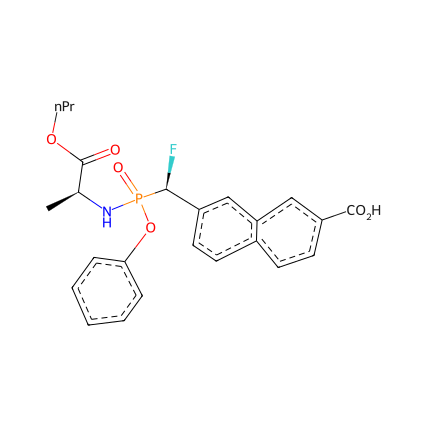 CCCOC(=O)[C@H](C)NP(=O)(Oc1ccccc1)[C@@H](F)c1ccc2ccc(C(=O)O)cc2c1